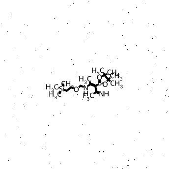 C/C(NCOCC[Si](C)(C)C)=C(\B1OC(C)(C)C(C)(C)O1)C(=N)C(F)(F)F